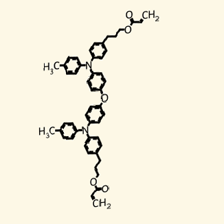 C=CC(=O)OCCCc1ccc(N(c2ccc(C)cc2)c2ccc(Oc3ccc(N(c4ccc(C)cc4)c4ccc(CCCOC(=O)C=C)cc4)cc3)cc2)cc1